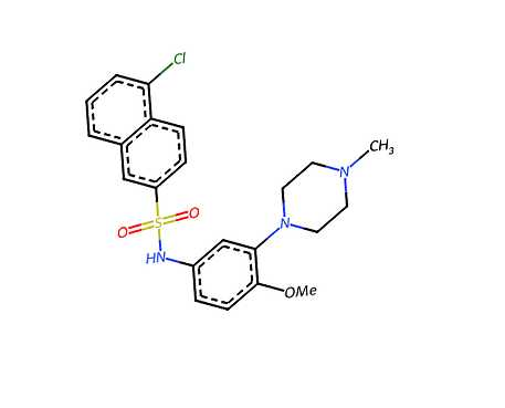 COc1ccc(NS(=O)(=O)c2ccc3c(Cl)cccc3c2)cc1N1CCN(C)CC1